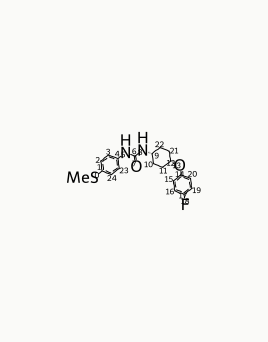 CSc1ccc(NC(=O)N[C@H]2CC[C@@H](Oc3ccc(F)cc3)CC2)cc1